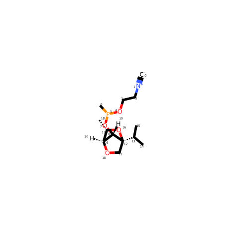 [C-]#[N+]CCOP(C)O[C@H]1[C@H]2OC[C@]1(C(C)C)O[C@H]2C